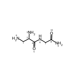 NCC(N)C(=O)NCC(N)=O